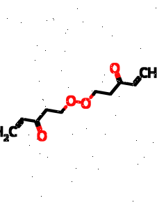 C=CC(=O)CCOOCCC(=O)C=C